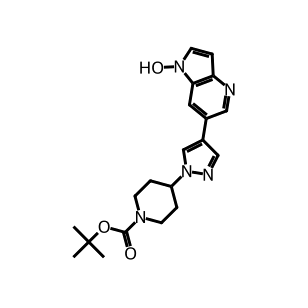 CC(C)(C)OC(=O)N1CCC(n2cc(-c3cnc4ccn(O)c4c3)cn2)CC1